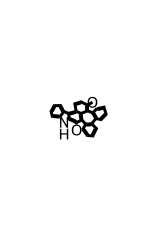 c1ccc2c(c1)[nH]c1c3oc4cccc5c4c3c3c(ccc4oc6cccc-5c6c43)c21